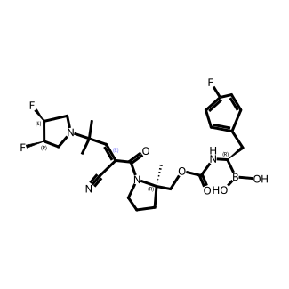 CC(C)(/C=C(\C#N)C(=O)N1CCC[C@]1(C)COC(=O)N[C@@H](Cc1ccc(F)cc1)B(O)O)N1C[C@@H](F)[C@@H](F)C1